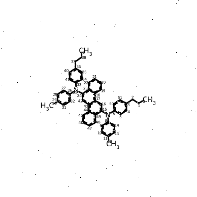 CCCc1ccc(N(c2ccc(C)cc2)c2cc3c4ccccc4c(N(c4ccc(C)cc4)c4ccc(CCC)cc4)cc3c3ccccc23)cc1